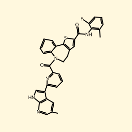 Cc1cnc2[nH]cc(-c3cccc(C(=O)N4CCc5cc(C(=O)Nc6c(C)cccc6F)sc5-c5ccccc54)n3)c2c1